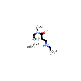 CON(CC(=O)O)C(=O)CCNCC(=O)O.[NaH].[NaH]